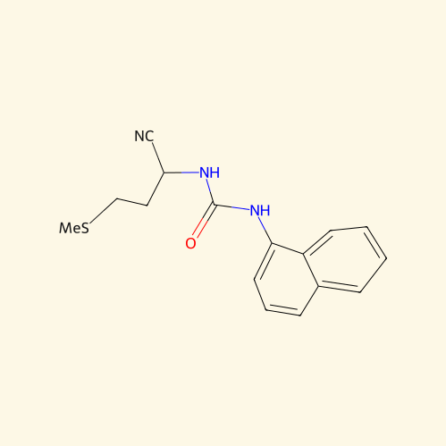 CSCCC(C#N)NC(=O)Nc1cccc2ccccc12